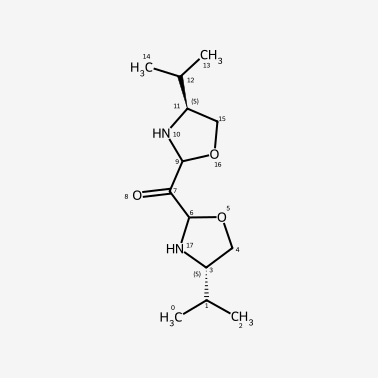 CC(C)[C@H]1COC(C(=O)C2N[C@@H](C(C)C)CO2)N1